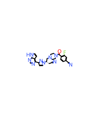 N#CC[C@@H](CN1CCN(C(=O)c2ccc(C#N)cc2F)CC1)n1ccc(-c2ncnc3[nH]ccc23)n1